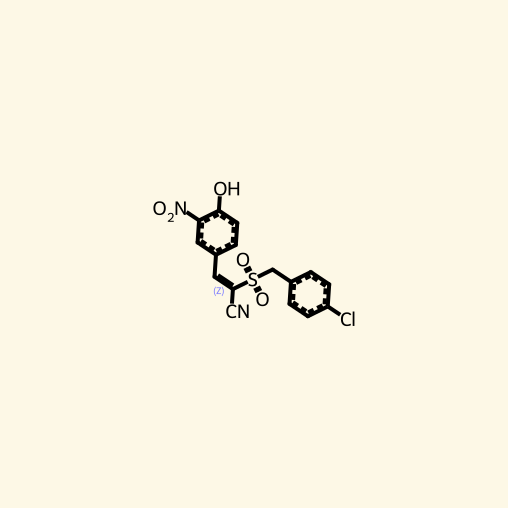 N#C/C(=C/c1ccc(O)c([N+](=O)[O-])c1)S(=O)(=O)Cc1ccc(Cl)cc1